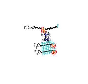 CCCCCCCCCCCCCCCCOS(=O)(=O)CCCCCCCCCCF.CC[N+](CC)(CC)CC.CC[N+](CC)(CC)CC.O=S(=O)([O-])C(F)(F)C(F)(F)C(F)(F)C(F)(F)C(F)(F)C(F)(F)C(F)(F)CCC(F)(F)F.O=S(=O)([O-])C(F)(F)C(F)(F)C(F)(F)C(F)(F)C(F)(F)C(F)(F)C(F)(F)CCC(F)(F)F